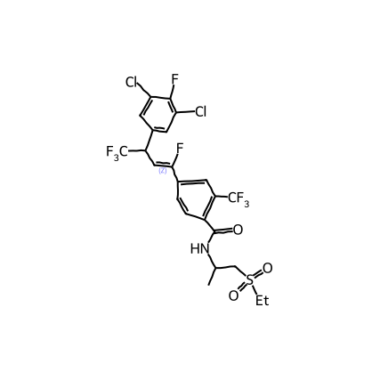 CCS(=O)(=O)CC(C)NC(=O)c1ccc(/C(F)=C/C(c2cc(Cl)c(F)c(Cl)c2)C(F)(F)F)cc1C(F)(F)F